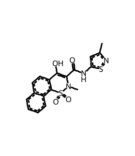 Cc1cc(NC(=O)C2=C(O)c3ccc4ccccc4c3S(=O)(=O)N2C)sn1